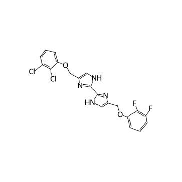 Fc1cccc(OCc2c[nH]c(-c3nc(COc4cccc(Cl)c4Cl)c[nH]3)n2)c1F